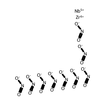 O=N[O-].O=N[O-].O=N[O-].O=N[O-].O=N[O-].O=N[O-].O=N[O-].O=N[O-].O=N[O-].[Nb+5].[Zr+4]